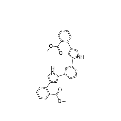 COC(=O)c1ccccc1-c1c[nH]c(-c2cccc(-c3cc(-c4ccccc4C(=O)OC)c[nH]3)c2)c1